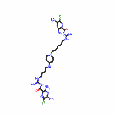 N=C(NCCCCCN1CCC(NCCCCNC(=N)NC(=O)c2nc(Cl)c(N)nc2N)CC1)NC(=O)c1nc(Cl)c(N)nc1N